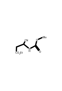 CCOC(=O)CC(C#N)NC(=O)OC(C)(C)C